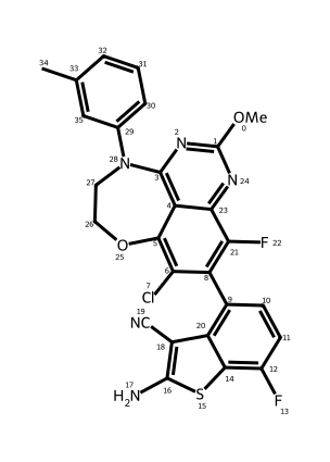 COc1nc2c3c(c(Cl)c(-c4ccc(F)c5sc(N)c(C#N)c45)c(F)c3n1)OCCN2c1cccc(C)c1